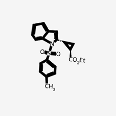 CCOC(=O)[C@@H]1C[C@H]1c1cc2ccccc2n1S(=O)(=O)c1ccc(C)cc1